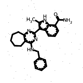 Cc1[nH]c2c(C(N)=O)cccc2c1-c1nc2c(c(NCc3ccccc3)n1)CCCCC2